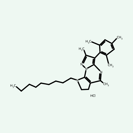 CCCCCCCCCN1CCc2c(C)nc3c(-c4c(C)cc(C)cc4C)c(C)nn3c21.Cl